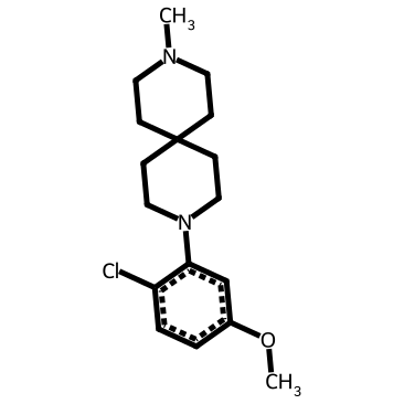 COc1ccc(Cl)c(N2CCC3(CCN(C)CC3)CC2)c1